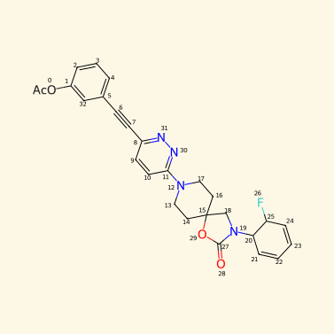 CC(=O)Oc1cccc(C#Cc2ccc(N3CCC4(CC3)CN(C3C=CC=CC3F)C(=O)O4)nn2)c1